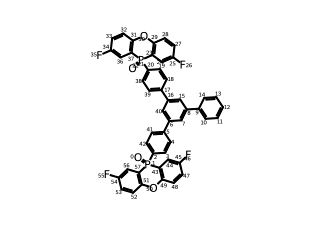 O=P1(c2ccc(-c3cc(-c4ccccc4)cc(-c4ccc(P5(=O)c6cc(F)ccc6Oc6ccc(F)cc65)cc4)c3)cc2)c2cc(F)ccc2Oc2ccc(F)cc21